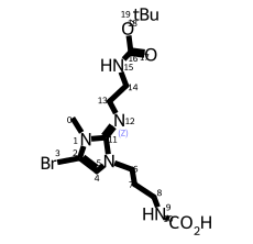 Cn1c(Br)cn(CCCNC(=O)O)/c1=N/CCNC(=O)OC(C)(C)C